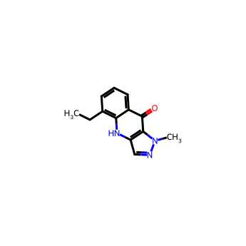 CCc1cccc2c(=O)c3c(cnn3C)[nH]c12